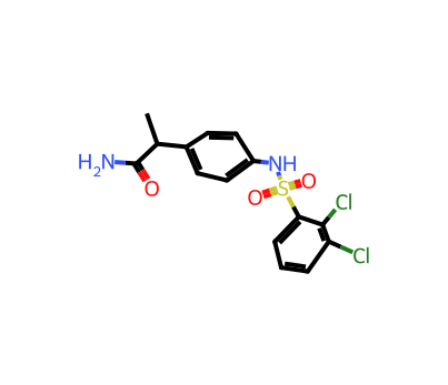 CC(C(N)=O)c1ccc(NS(=O)(=O)c2cccc(Cl)c2Cl)cc1